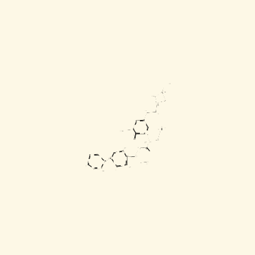 CC(C)C[C@@H](C(=O)N[C@@H](CC(=O)O)c1ccc(-c2ccccc2)cc1)n1cc(CCN2CC(F)C2)cc(F)c1=O